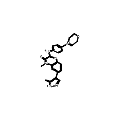 Cc1[nH]ncc1-c1ccc2nc(Nc3ccc(N4CCOCC4)cc3)c(=O)n(C)c2c1